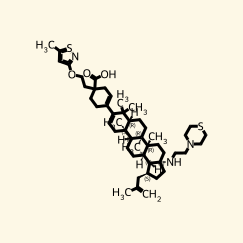 C=C(C)C[C@@H]1CC[C@]2(NCCN3CCSCC3)CC[C@]3(C)[C@H](CC[C@@H]4[C@@]5(C)CC=C(C6=CCC(CCOc7cc(C)sn7)(C(=O)O)CC6)C(C)(C)[C@@H]5CC[C@]43C)[C@@H]12